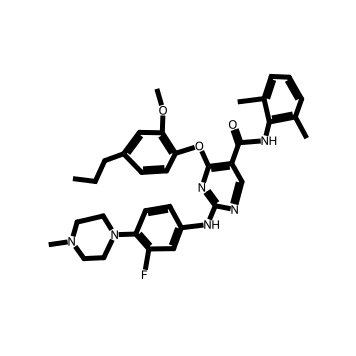 CCCc1ccc(Oc2nc(Nc3ccc(N4CCN(C)CC4)c(F)c3)ncc2C(=O)Nc2c(C)cccc2C)c(OC)c1